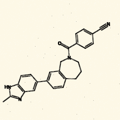 Cc1nc2cc(-c3ccc4c(c3)CN(C(=O)c3ccc(C#N)cc3)CCC4)ccc2[nH]1